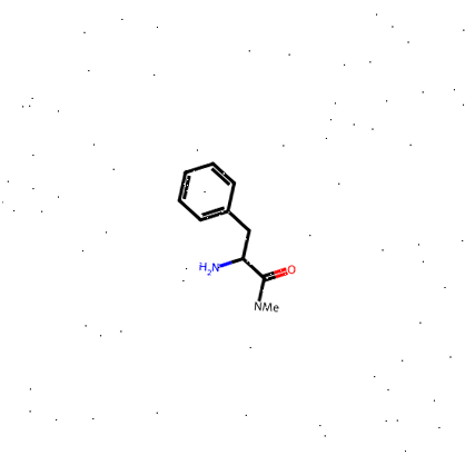 CNC(=O)C(N)Cc1ccccc1